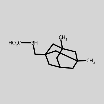 CC12CC3CC(C)(C1)CC(CBC(=O)O)(C3)C2